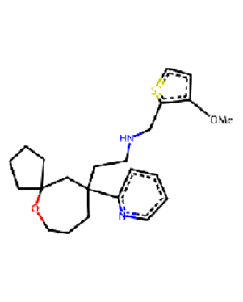 COc1ccsc1CNCCC1(c2ccccn2)CCCOC2(CCCC2)C1